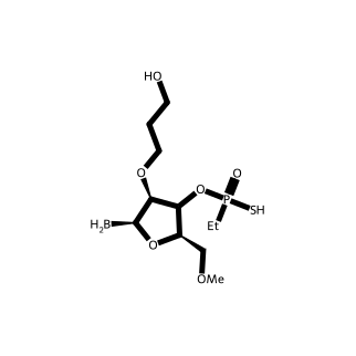 B[C@@H]1O[C@H](COC)C(OP(=O)(S)CC)[C@@H]1OCCCO